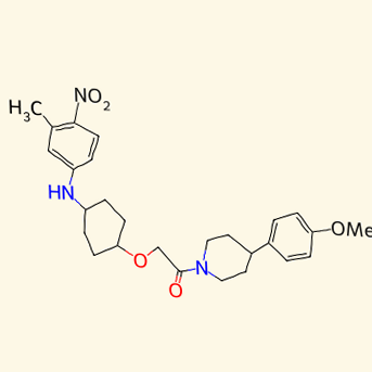 COc1ccc(C2CCN(C(=O)COC3CCC(Nc4ccc([N+](=O)[O-])c(C)c4)CC3)CC2)cc1